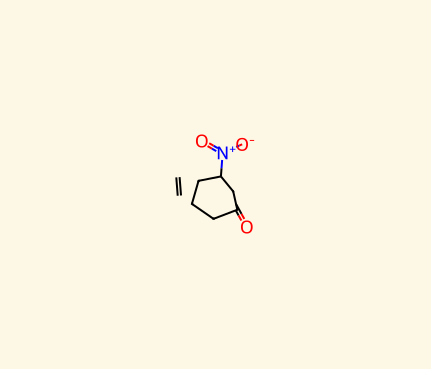 C=C.O=C1CCCC([N+](=O)[O-])C1